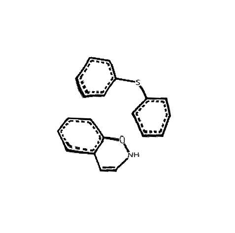 C1=Cc2ccccc2ON1.c1ccc(Sc2ccccc2)cc1